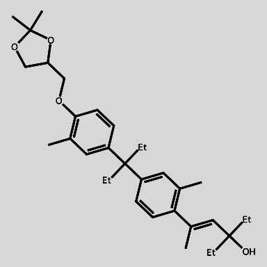 CCC(O)(C=C(C)c1ccc(C(CC)(CC)c2ccc(OCC3COC(C)(C)O3)c(C)c2)cc1C)CC